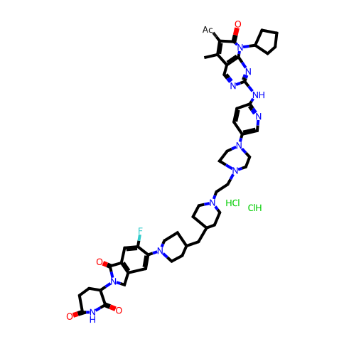 CC(=O)c1c(C)c2cnc(Nc3ccc(N4CCN(CCN5CCC(CC6CCN(c7cc8c(cc7F)C(=O)N(C7CCC(=O)NC7=O)C8)CC6)CC5)CC4)cn3)nc2n(C2CCCC2)c1=O.Cl.Cl